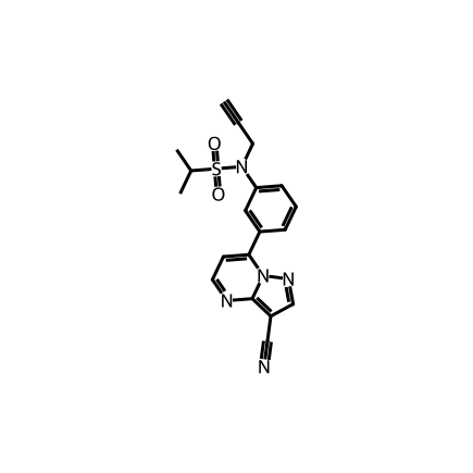 C#CCN(c1cccc(-c2ccnc3c(C#N)cnn23)c1)S(=O)(=O)C(C)C